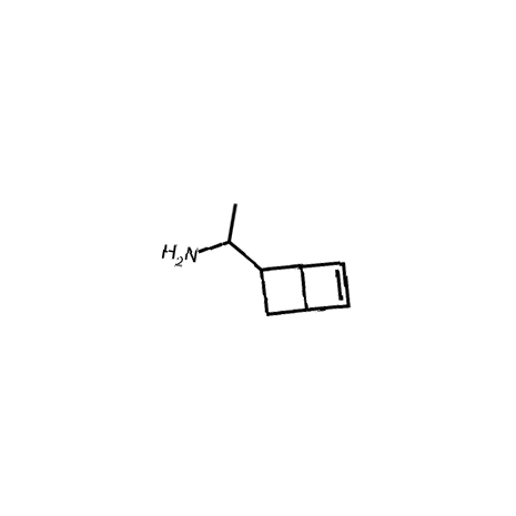 CC(N)C1CC2C=CC21